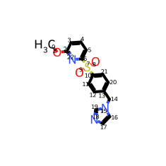 COc1cccc(S(=O)(=O)c2ccc(Cn3ccnc3)cc2)n1